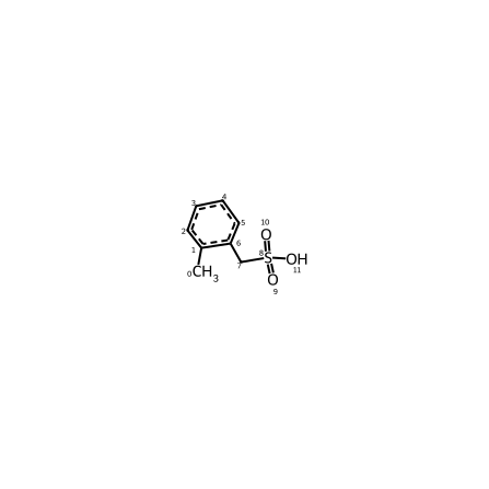 Cc1ccccc1CS(=O)(=O)O